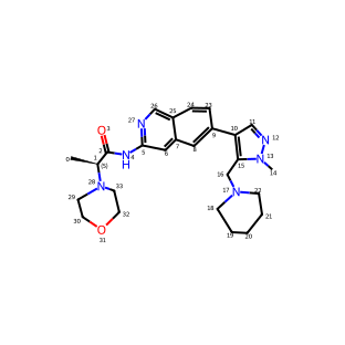 C[C@@H](C(=O)Nc1cc2cc(-c3cnn(C)c3CN3CCCCC3)ccc2cn1)N1CCOCC1